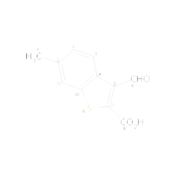 Cc1ccc2c(C=O)c(C(=O)O)sc2c1